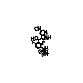 [C-]#[N+]c1cnc2[nH]cc(C(O)c3c(F)ccc(NS(=O)(=O)CCC)c3F)c2c1